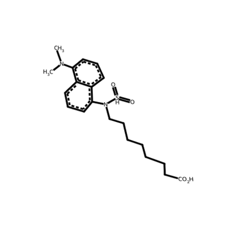 CN(C)c1cccc2c(N(CCCCCCCC(=O)O)[SH](=O)=O)cccc12